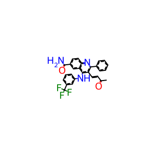 CC(=O)/C=C/c1c(-c2ccccc2)nc2ccc(C(N)=O)cc2c1Nc1cccc(C(F)(F)F)c1